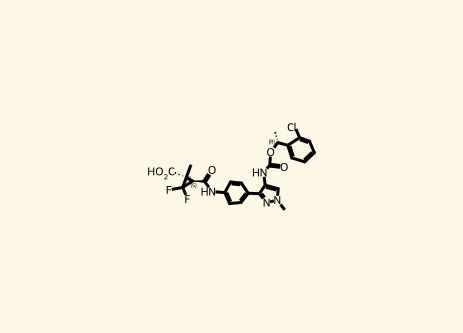 C[C@@H](OC(=O)Nc1cn(C)nc1-c1ccc(NC(=O)[C@H]2C(F)(F)[C@]2(C)C(=O)O)cc1)c1ccccc1Cl